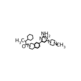 CC(C(=O)N1CCc2ccc(-c3cc(N4CCN(C)CC4)nc(N)n3)cc2C1)C1CCCCC1